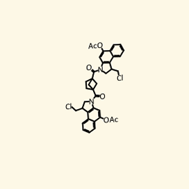 CC(=O)Oc1cc2c(c3ccccc13)C(CCl)CN2C(=O)C12CCC(C(=O)N3CC(CCl)c4c3cc(OC(C)=O)c3ccccc43)(C1)C2